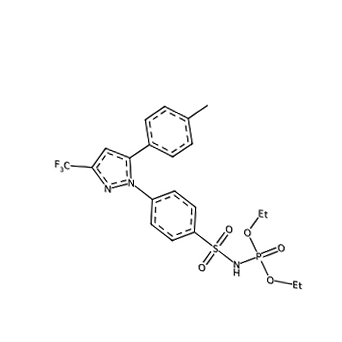 CCOP(=O)(NS(=O)(=O)c1ccc(-n2nc(C(F)(F)F)cc2-c2ccc(C)cc2)cc1)OCC